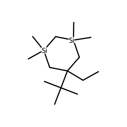 CCC1(C(C)(C)C)C[Si](C)(C)C[Si](C)(C)C1